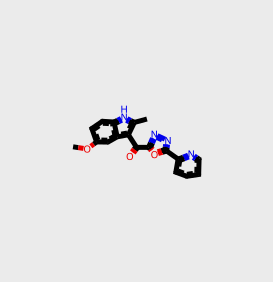 COc1ccc2[nH]c(C)c(C(=O)c3nnc(-c4ccccn4)o3)c2c1